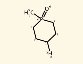 [2H]C1CCP(C)(=O)CC1